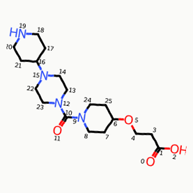 O=C(O)CCOC1CCN(C(=O)N2CCN(C3CCNCC3)CC2)CC1